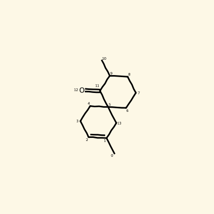 CC1=CCCC2(CCCC(C)C2=O)C1